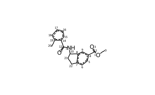 COC(=O)c1ccc2c(c1)C(NC(=O)c1ccccc1C)CC2